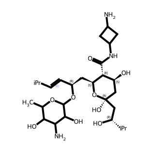 CC(C)/C=C/[C@@H](C[C@@H]1O[C@](O)(C[C@@H](O)C(C)C)C[C@H](O)[C@H]1C(=O)NC1CC(N)C1)OC1OC(C)C(O)C(N)C1O